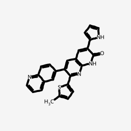 Cc1ccc(-c2nc3[nH]c(=O)c(-c4ccc[nH]4)cc3cc2-c2ccc3ncccc3c2)s1